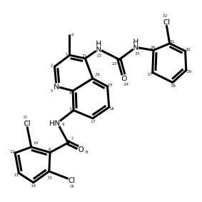 Cc1cnc2c(NC(=O)c3c(Cl)cccc3Cl)cccc2c1NC(=O)Nc1ccccc1Cl